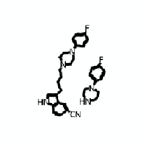 Fc1ccc(N2CCNCC2)cc1.N#Cc1ccc2[nH]cc(CCCCN3CCN(c4ccc(F)cc4)CC3)c2c1